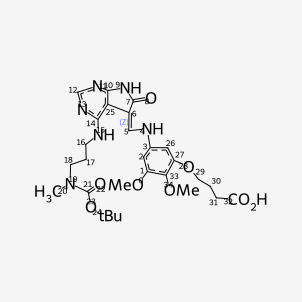 COc1cc(N/C=C2\C(=O)Nc3ncnc(NCCCN(C)C(=O)OC(C)(C)C)c32)cc(OCCCC(=O)O)c1OC